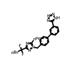 CCCCCc1nc(C(F)(F)CCCC)nn1Cc1ccc(-c2cccc(-c3nnn[nH]3)c2)cc1